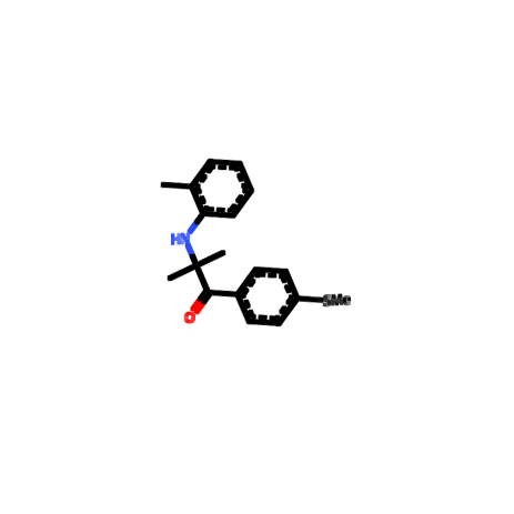 CSc1ccc(C(=O)C(C)(C)Nc2ccccc2C)cc1